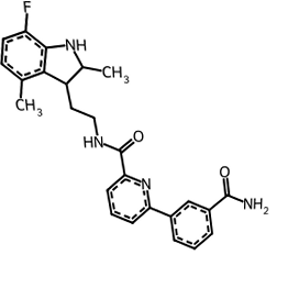 Cc1ccc(F)c2c1C(CCNC(=O)c1cccc(-c3cccc(C(N)=O)c3)n1)C(C)N2